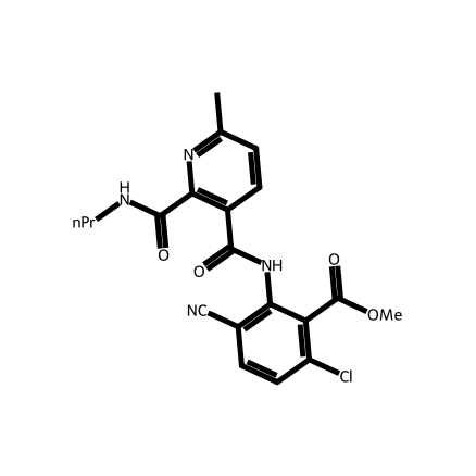 CCCNC(=O)c1nc(C)ccc1C(=O)Nc1c(C#N)ccc(Cl)c1C(=O)OC